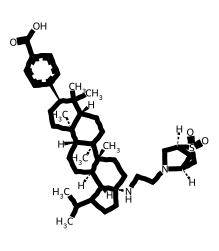 CC(C)C1CC[C@]2(NCCN3C[C@@H]4C[C@H]3CS4(=O)=O)CC[C@]3(C)[C@H](CC[C@@H]4[C@@]5(C)CC[C@@H](c6ccc(C(=O)O)cc6)C(C)(C)[C@@H]5CC[C@]43C)[C@@H]12